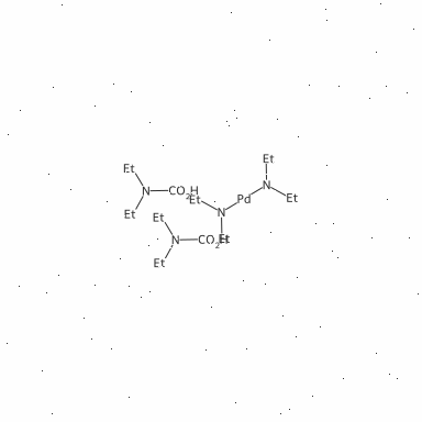 CCN(CC)C(=O)O.CCN(CC)C(=O)O.CC[N](CC)[Pd][N](CC)CC